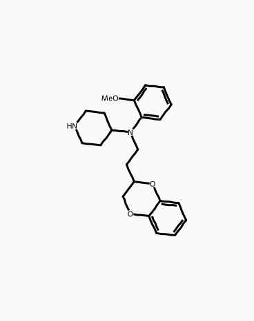 COc1ccccc1N(CCC1COc2ccccc2O1)C1CCNCC1